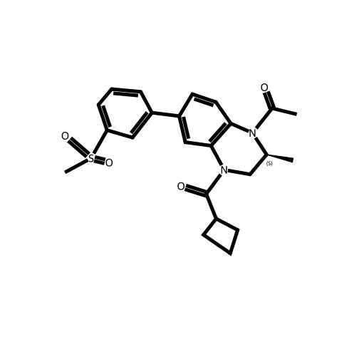 CC(=O)N1c2ccc(-c3cccc(S(C)(=O)=O)c3)cc2N(C(=O)C2CCC2)C[C@@H]1C